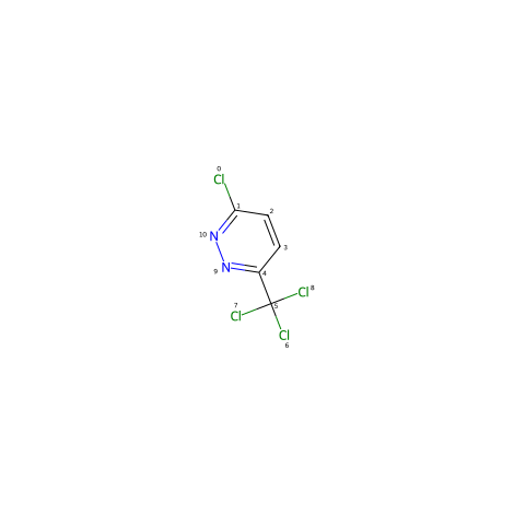 Clc1ccc(C(Cl)(Cl)Cl)nn1